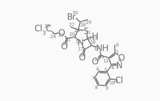 Cc1onc(-c2ccccc2Cl)c1C(=O)NC1C(=O)N2C(C(=O)OCC(Cl)(Cl)Cl)C(C)(C(C)Br)S[C@H]12